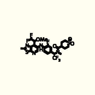 COC(c1c(Nc2ccc([C@H](N(C)C(=O)C3CCS(=O)(=O)CC3)C(F)(F)F)cc2F)cnc2sc(C)nc12)C(F)F